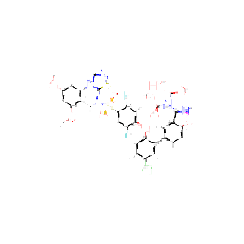 COc1ccc(CN(c2ncns2)S(=O)(=O)c2cc(F)c(Oc3ccc(Cl)cc3-c3ccc4onc(N(C(=O)O)C(=O)O)c4c3)cc2F)c(OC)c1